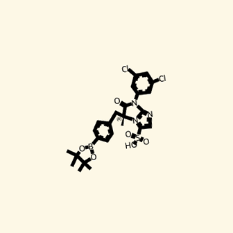 CC1(C)OB(c2ccc(C[C@]3(C)C(=O)N(c4cc(Cl)cc(Cl)c4)c4ncc(S(=O)(=O)O)n43)cc2)OC1(C)C